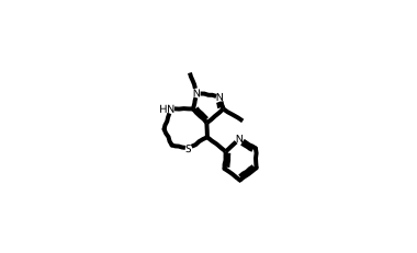 Cc1nn(C)c2c1C(c1ccccn1)SCCN2